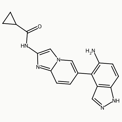 Nc1ccc2[nH]ncc2c1-c1ccc2nc(NC(=O)C3CC3)cn2c1